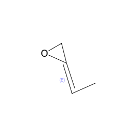 C/C=C1\CO1